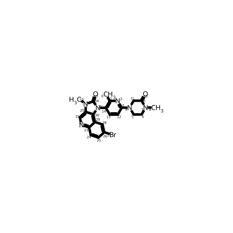 Cc1nc(N2CCN(C)C(=O)C2)ccc1-n1c(=O)n(C)c2cnc3ccc(Br)cc3c21